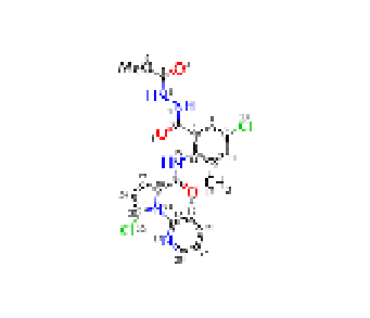 COC(=O)NNC(=O)c1cc(Cl)cc(C)c1NC(=O)c1ccc(Cl)n1-c1ccccn1